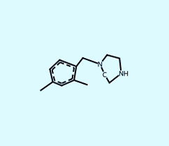 Cc1ccc(CN2CCNCC2)c(C)c1